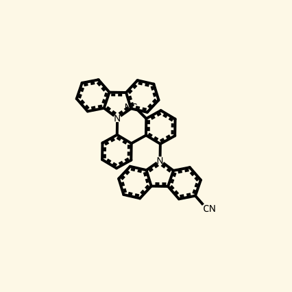 N#Cc1ccc2c(c1)c1ccccc1n2-c1cccc(C#N)c1-c1ccccc1-n1c2ccccc2c2ccccc21